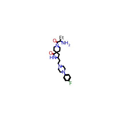 CCC(N)C(=O)N1CCC2(CC1)CC(CCN1CCN(c3ccc(F)cc3)CC1)NC2=O